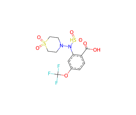 O=C(O)c1ccc(OC(F)(F)F)cc1N(N1CCS(=O)(=O)CC1)[SH](=O)=O